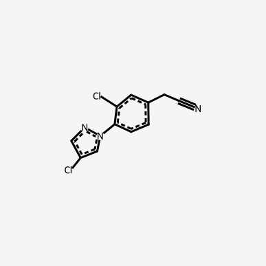 N#CCc1ccc(-n2cc(Cl)cn2)c(Cl)c1